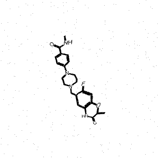 CNC(=O)c1ccc(N2CCN(Cc3cc4c(cc3F)OC(C)C(=O)N4)CC2)cc1